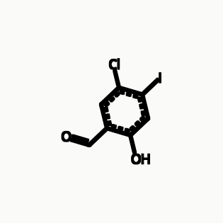 O=Cc1cc(Cl)c(I)cc1O